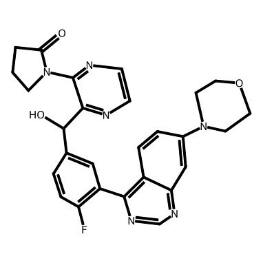 O=C1CCCN1c1nccnc1C(O)c1ccc(F)c(-c2ncnc3cc(N4CCOCC4)ccc23)c1